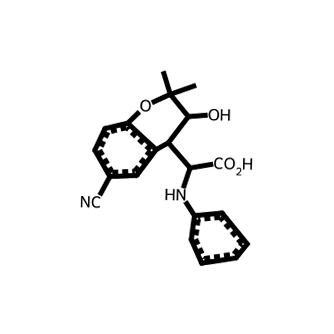 CC1(C)Oc2ccc(C#N)cc2C(C(Nc2ccccc2)C(=O)O)C1O